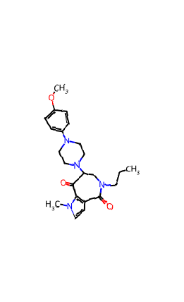 CCCN1CC(N2CCN(c3ccc(OC)cc3)CC2)C(=O)c2c(ccn2C)C1=O